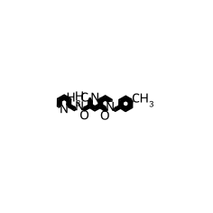 Cc1ccc(Cn2ccc3nc(C)c(C(=O)NCc4ccccn4)cc3c2=O)cc1